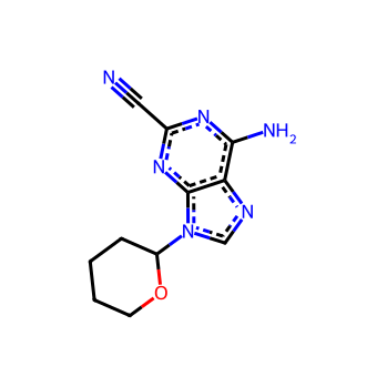 N#Cc1nc(N)c2ncn(C3CCCCO3)c2n1